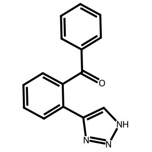 O=C(c1ccccc1)c1ccccc1-c1c[nH]nn1